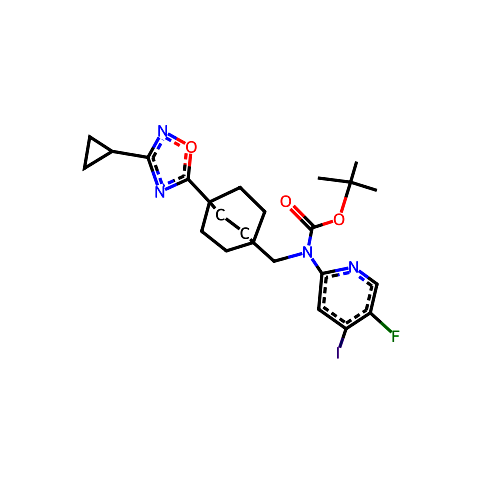 CC(C)(C)OC(=O)N(CC12CCC(c3nc(C4CC4)no3)(CC1)CC2)c1cc(I)c(F)cn1